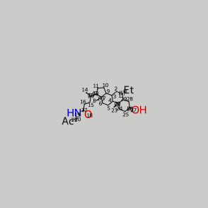 CC[C@H]1CC2C(CC[C@@]3(C)C2CC[C@@H]3[C@H](C)CCC(=O)NCC(C)=O)[C@@]2(C)CC[C@@H](O)CC12